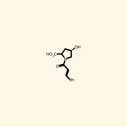 CC(C)/C=C/C(=O)N1C[C@H](O)CC1C(=O)O